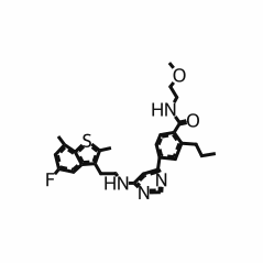 CCCc1cc(-c2cc(NCCc3c(C)sc4c(C)cc(F)cc34)ncn2)ccc1C(=O)NCCOC